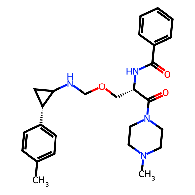 Cc1ccc([C@@H]2CC2NCOC[C@H](NC(=O)c2ccccc2)C(=O)N2CCN(C)CC2)cc1